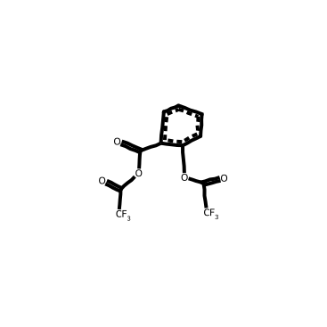 O=C(OC(=O)C(F)(F)F)c1ccccc1OC(=O)C(F)(F)F